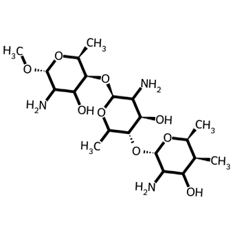 CO[C@@H]1O[C@@H](C)[C@@H](O[C@@H]2OC(C)[C@@H](O[C@@H]3O[C@@H](C)[C@@H](C)C(O)C3N)[C@H](O)C2N)C(O)C1N